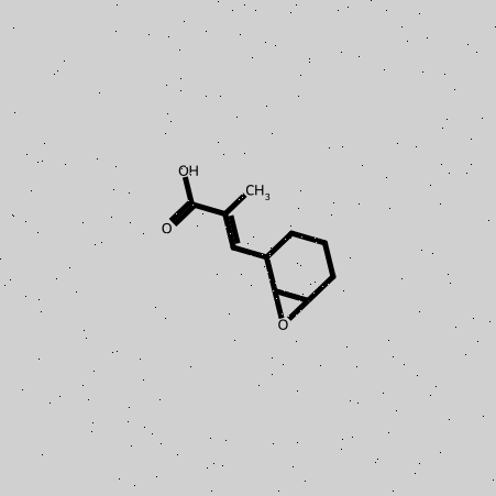 C/C(=C\C1CCCC2OC12)C(=O)O